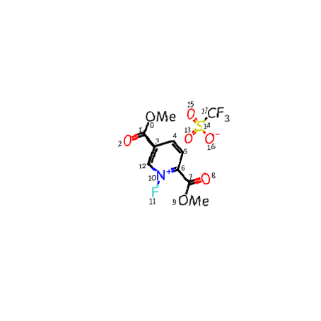 COC(=O)c1ccc(C(=O)OC)[n+](F)c1.O=S(=O)([O-])C(F)(F)F